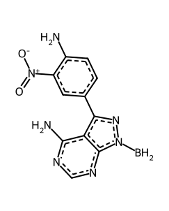 Bn1nc(-c2ccc(N)c([N+](=O)[O-])c2)c2c(N)ncnc21